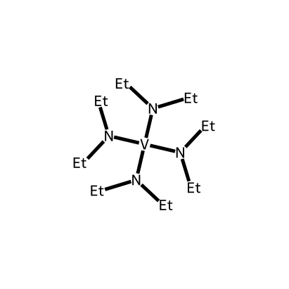 CC[N](CC)[V]([N](CC)CC)([N](CC)CC)[N](CC)CC